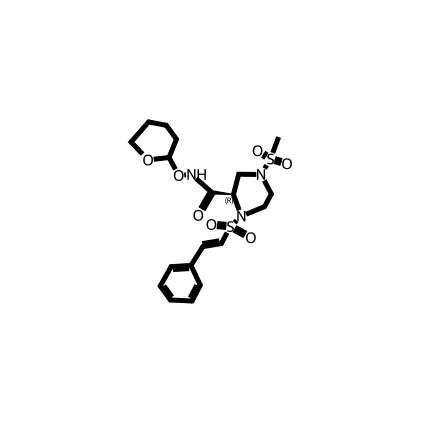 CS(=O)(=O)N1CCN(S(=O)(=O)C=Cc2ccccc2)[C@@H](C(=O)NOC2CCCCO2)C1